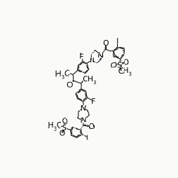 CC(C(=O)C(C)c1ccc(N2CCN(C(=O)c3cc(S(C)(=O)=O)ccc3I)CC2)c(F)c1)c1ccc(N2CCN(C(=O)c3cc(S(C)(=O)=O)ccc3I)CC2)c(F)c1